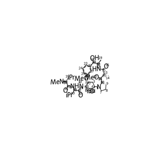 CC[C@H](C)[C@@H]([C@@H](CC(=O)N1CCC[C@H]1[C@H](OC)[C@@H](C)C(=O)N[C@H](C)[C@@H](O)c1ccccc1)OC)N(C)C(=O)[C@H](NC(=O)[C@@H](NC)C(C)C)C(C)C